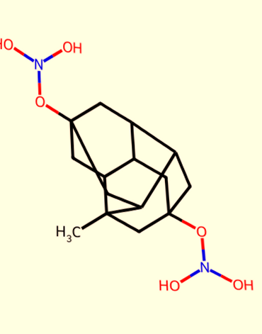 CC12CC3(ON(O)O)CC4C5CC(ON(O)O)(CC41)CC2C5C3